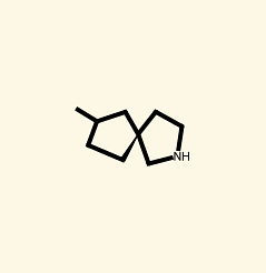 CC1CC[C@]2(CCNC2)C1